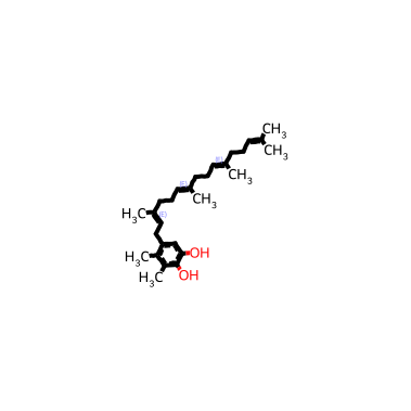 CC(C)=CCC/C(C)=C/CC/C(C)=C/CC/C(C)=C/Cc1cc(O)c(O)c(C)c1C